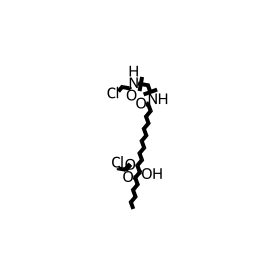 CCCCCC(OC(=O)CCl)C(O)CCCCCCCCCCC(=O)NC(C)(C)CC(C)(C)NC(=O)CCl